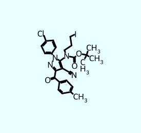 Cc1ccc(C(=O)c2nn(-c3ccc(Cl)cc3)c(N(CCCI)C(=O)OC(C)(C)C)c2C#N)cc1